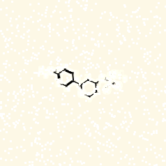 CS(=O)(=O)OC1CCOC(c2ccc(C(F)(F)F)nc2)C1